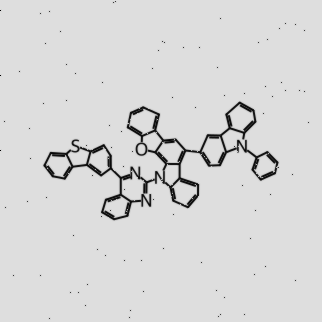 c1ccc(-n2c3ccccc3c3cc(-c4cc5c6ccccc6oc5c5c4c4ccccc4n5-c4nc(-c5ccc6sc7ccccc7c6c5)c5ccccc5n4)ccc32)cc1